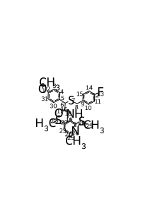 COc1ccc(C(SCc2ccc(F)cc2)C(=O)Nc2c(SC)cc(C)nc2SC)cc1